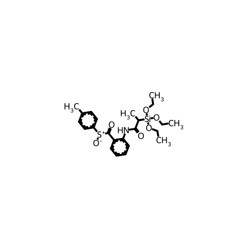 CCO[Si](OCC)(OCC)C(C)C(=O)Nc1ccccc1C(=O)[S+]([O-])c1ccc(C)cc1